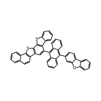 c1ccc2c(c1)ccc1c3cc(-c4c5ccccc5c(-c5ccc6c(c5)oc5ccccc56)c5ccccc45)c4c5ccccc5sc4c3sc21